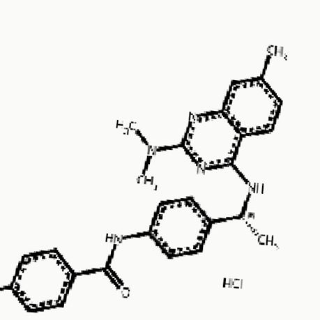 Cc1ccc2c(N[C@H](C)c3ccc(NC(=O)c4ccc(F)cc4)cc3)nc(N(C)C)nc2c1.Cl